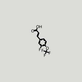 O=C(O)C=Cc1ccc(OC(F)(F)F)c(F)c1